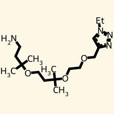 CCn1cc(COCCOC(C)(C)CCOC(C)(C)CCN)nn1